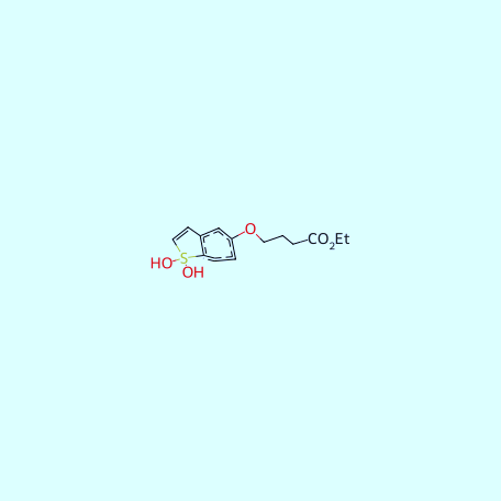 CCOC(=O)CCCOc1ccc2c(c1)C=CS2(O)O